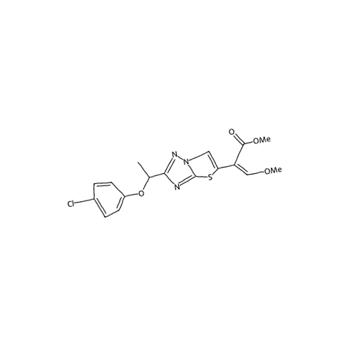 COC=C(C(=O)OC)c1cn2nc(C(C)Oc3ccc(Cl)cc3)nc2s1